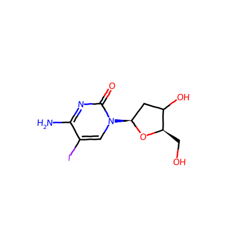 Nc1nc(=O)n([C@H]2CC(O)[C@@H](CO)O2)cc1I